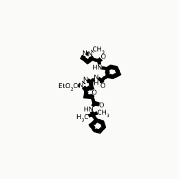 CCOC(=O)n1nc(NC(=O)c2ccccc2NC(=O)c2ccnn2C)c2oc(C(=O)NC(C)(C)c3ccccc3)cc21